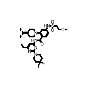 CCc1cc(NC(=O)c2ccc(NS(=O)(=O)CCO)cc2N2CCC(=C(F)F)CC2)nc(N2CCC(F)(F)CC2)n1